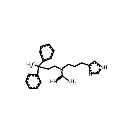 CC(CCN(CCCc1c[nH]cn1)C(=N)N)(c1ccccc1)c1ccccc1